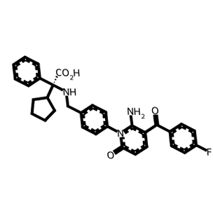 Nc1c(C(=O)c2ccc(F)cc2)ccc(=O)n1-c1ccc(CN[C@](C(=O)O)(c2ccccc2)C2CCCC2)cc1